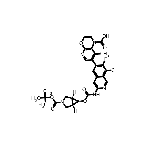 Cc1c(-c2cc3cc(NC(=O)O[C@H]4[C@@H]5CN(C(=O)OC(C)(C)C)C[C@@H]54)ncc3c(Cl)c2F)cnc2c1N(C(=O)O)CCO2